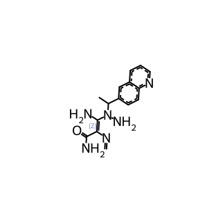 C=N/C(C(N)=O)=C(/N)N(N)C(C)c1ccc2ncccc2c1